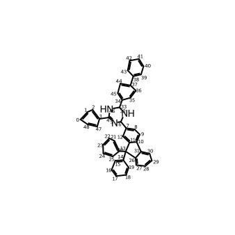 c1ccc(C2=NC(c3ccc4c(c3)C(c3ccccc3)(c3ccccc3)c3ccccc3-4)NC(c3ccc(-c4ccccc4)cc3)N2)cc1